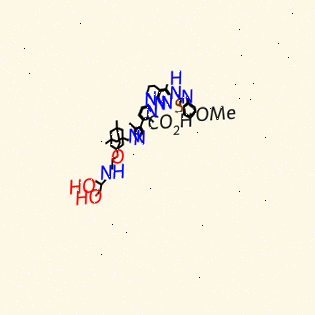 COc1ccc2sc(Nc3nnc4c(c3C)CCCN4c3ccc(-c4cnn(CC56CC7(C)CC(C)(C5)CC(OCCNCC(CO)CO)(C7)C6)c4C)c(C(=O)O)n3)nc2c1